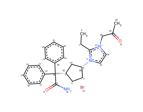 CCc1n([C@@H]2CC[C@H](C(C(N)=O)(c3ccccc3)c3ccccc3)C2)cc[n+]1CC(C)=O.[Br-]